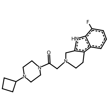 O=C(CN1CCc2c([nH]c3c(F)cccc23)C1)N1CCN(C2CCC2)CC1